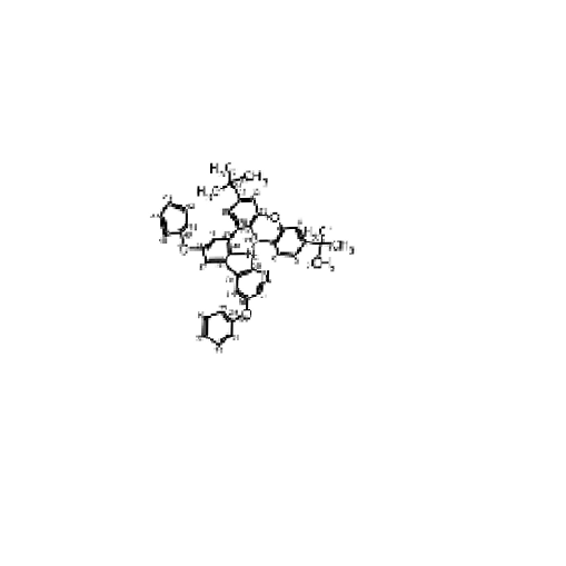 CC(C)(C)c1ccc2c(c1)Oc1cc(C(C)(C)C)cc3c1B2n1c2ncc(Oc4ccccc4)cc2c2cc(Oc4ccccc4)cc-3c21